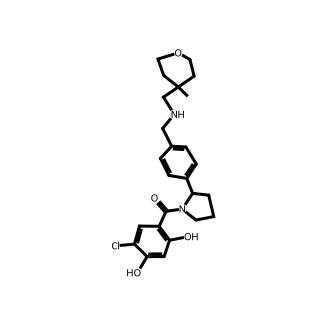 CC1(CNCc2ccc(C3CCCN3C(=O)c3cc(Cl)c(O)cc3O)cc2)CCOCC1